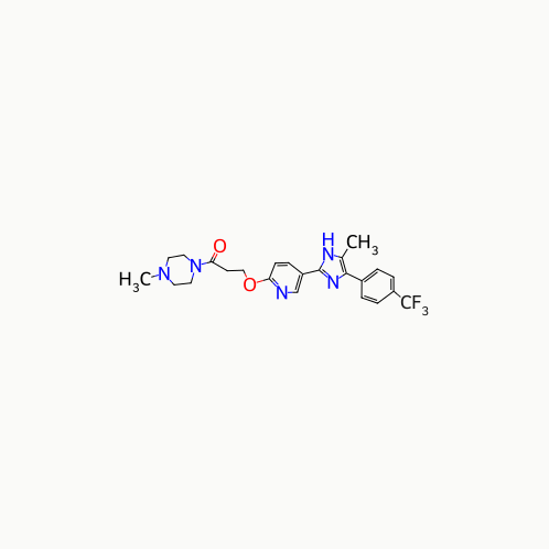 Cc1[nH]c(-c2ccc(OCCC(=O)N3CCN(C)CC3)nc2)nc1-c1ccc(C(F)(F)F)cc1